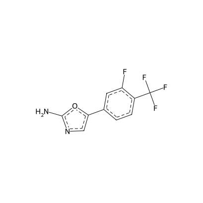 Nc1ncc(-c2ccc(C(F)(F)F)c(F)c2)o1